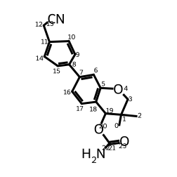 CC1(C)COc2cc(-c3ccc(CC#N)cc3)ccc2C1OC(N)=O